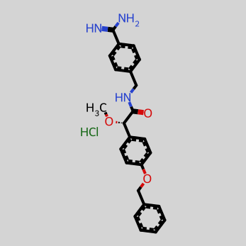 CO[C@H](C(=O)NCc1ccc(C(=N)N)cc1)c1ccc(OCc2ccccc2)cc1.Cl